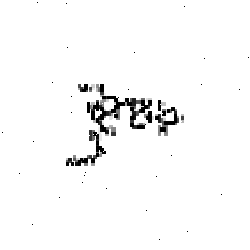 CNc1cc(Nc2cccn([C@H]3[C@@H]4COC[C@@H]43)c2=O)nc2c(C(=O)NC3C[C@H]3OC)cnn12